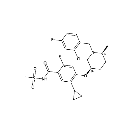 C[C@H]1CC[C@@H](Oc2cc(F)c(C(=O)NS(C)(=O)=O)cc2C2CC2)CN1Cc1ccc(F)cc1Cl